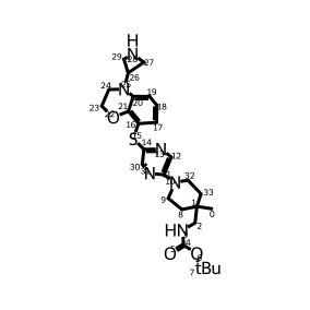 CC1(CNC(=O)OC(C)(C)C)CCN(c2cnc(Sc3cccc4c3OCCN4C3CNC3)cn2)CC1